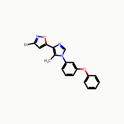 CCc1cc(-c2ncn(-c3cccc(Oc4ccccc4)c3)c2C)on1